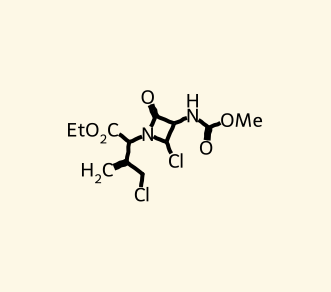 C=C(CCl)C(C(=O)OCC)N1C(=O)C(NC(=O)OC)C1Cl